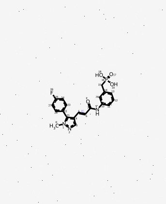 Cn1ncc(/C=C/C(=O)Nc2cccc(CP(=O)(O)O)c2)c1-c1ccc(F)cc1